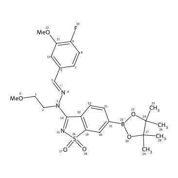 COCCN(/N=C/c1ccc(F)c(OC)c1)C1=NS(=O)(=O)c2cc(B3OC(C)(C)C(C)(C)O3)ccc21